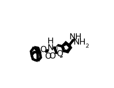 COC(=O)[C@@H](Cc1cccc(C(=N)N)c1)NC(=O)OC12CC3CC(CC(C3)C1)C2